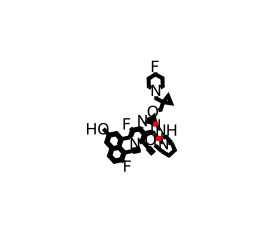 C#Cc1c(F)ccc2cc(O)cc(-c3nc(C#C)c4c(N5CC6CCC(C5)N6C(=O)NC5CC5)nc(OCC5(CN6CCC(F)CC6)CC5)nc4c3F)c12